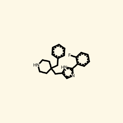 Fc1ccccc1-c1ncc(CC2(Cc3ccccc3)CCNCC2)[nH]1